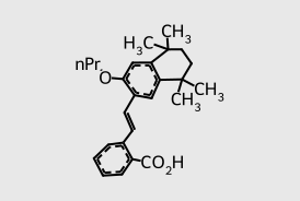 CCCOc1cc2c(cc1C=Cc1ccccc1C(=O)O)C(C)(C)CCC2(C)C